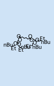 CCCCC(CC)COC(COC(=O)CCCCC(=O)OCC(OCC(CC)CCCC)OCC(CC)CCCC)OCC(CC)CCCC